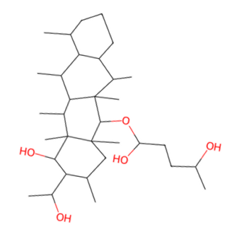 CC(O)CCC(O)OC1C2(C)C(C)C3CCCC(C)C3C(C)C2C(C)C2(C)C(O)C(C(C)O)C(C)CC12C